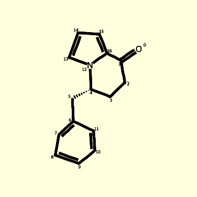 O=C1CC[C@H](Cc2ccccc2)n2cccc21